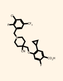 N#CC1(COc2cc(F)c(C(=O)O)cc2C2CC2)CCN(Cc2cc(C(F)(F)F)cc(Cl)c2F)CC1